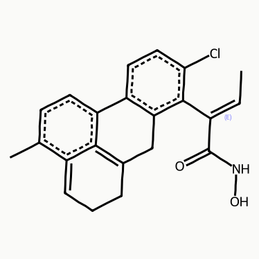 C/C=C(/C(=O)NO)c1c(Cl)ccc2c1CC1=c3c-2ccc(C)c3=CCC1